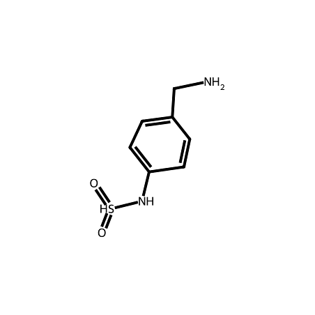 NCc1ccc(N[SH](=O)=O)cc1